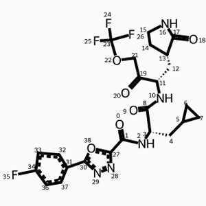 O=C(N[C@@H](CC1CC1)C(=O)N[C@@H](C[C@@H]1CCNC1=O)C(=O)COC(F)(F)F)c1nnc(-c2ccc(F)cc2)o1